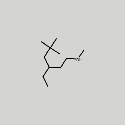 CCC(CCNC)CC(C)(C)C